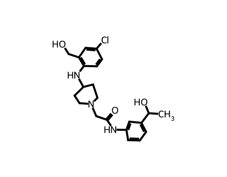 CC(O)c1cccc(NC(=O)CN2CCC(Nc3ccc(Cl)cc3CO)CC2)c1